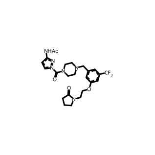 CC(=O)Nc1ccn(C(=O)N2CCN(Cc3cc(OCCN4CCCC4=O)cc(C(F)(F)F)c3)CC2)n1